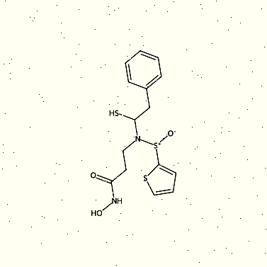 O=C(CCN(C(S)Cc1ccccc1)[S+]([O-])c1cccs1)NO